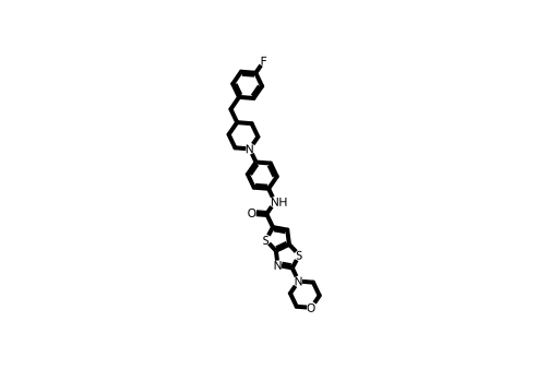 O=C(Nc1ccc(N2CCC(Cc3ccc(F)cc3)CC2)cc1)c1cc2sc(N3CCOCC3)nc2s1